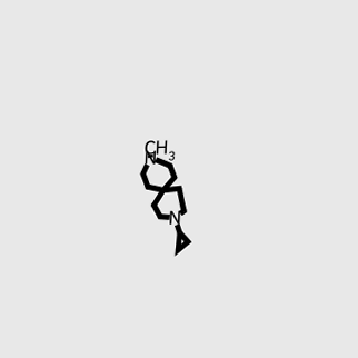 CN1CCC2(CC1)CCN(C1CC1)CC2